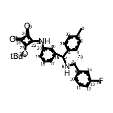 Cc1ccc(C(N[C@H](C)c2cccc(F)c2)c2cccc(Nc3c(OC(C)(C)C)c(=O)c3=O)c2)cc1